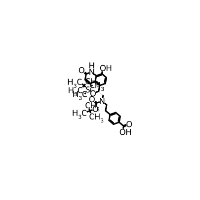 CC(C)(C)OC(=O)N(CCc1ccc(C(=O)O)cc1)C[C@H](O[Si](C)(C)C(C)(C)C)c1ccc(O)c2[nH]c(=O)ccc12